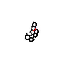 C=C1CCC=C/C1=C/CC(C)CB(C1=C(C)C=CCc2ccccc21)c1c(C)ccc2ccccc12